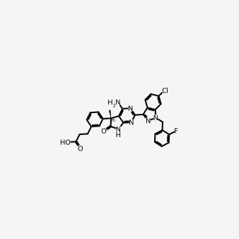 C[C@]1(c2cccc(CCC(=O)O)c2)C(=O)Nc2nc(-c3nn(Cc4ccccc4F)c4cc(Cl)ccc34)nc(N)c21